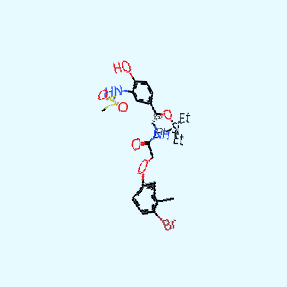 CC[Si](CC)(CC)O[C@H](CNC(=O)COc1ccc(Br)c(C)c1)c1ccc(O)c(NS(C)(=O)=O)c1